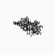 CC[C@H](C)[C@@H]([C@@H](CC(=O)N1CCC[C@H]1[C@H](OC)[C@@H](C)C(=O)N[C@H](CN=[N+]=[N-])Cc1ccc(N)cc1)OC)N(C)C(=O)C(NC(=O)[C@H](C(C)C)N(C)C)C(C)C